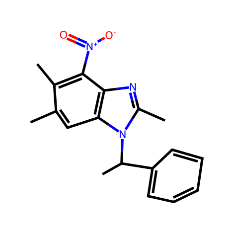 Cc1cc2c(nc(C)n2C(C)c2ccccc2)c([N+](=O)[O-])c1C